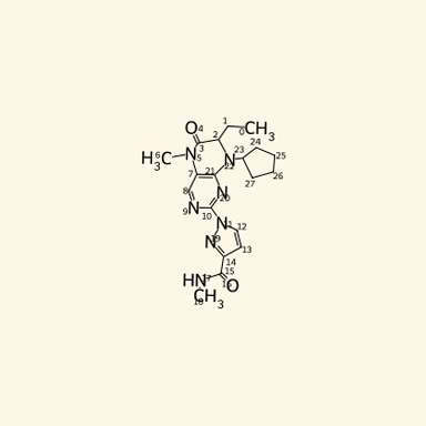 CCC1C(=O)N(C)c2cnc(-n3ccc(C(=O)NC)n3)nc2N1C1CCCC1